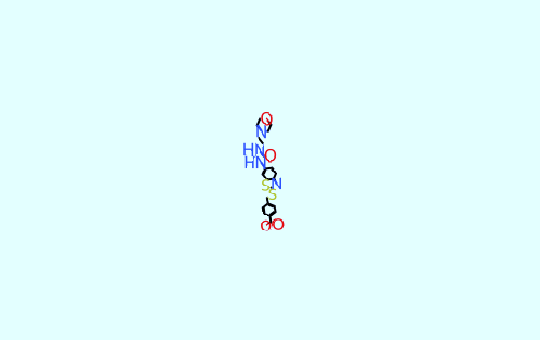 COC(=O)c1ccc(CSc2nc3ccc(NC(=O)NCCN4CCOCC4)cc3s2)cc1